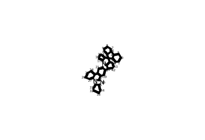 c1ccc2c(c1)-c1ccccc1C21c2ccccc2-n2c3cc4c5ccccc5n5c6ccccc6nc5c4cc3c3cccc1c32